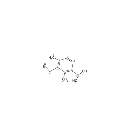 Cc1ccc(B(O)O)c(C)c1CBr